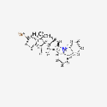 CC1(C)c2cc(Br)ccc2-c2ccc3c(ccc4c3c3cccc5c6ccccc6n4c53)c21